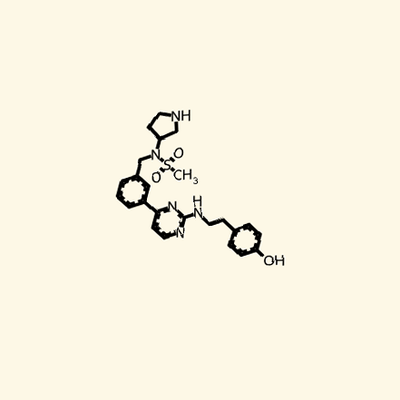 CS(=O)(=O)N(Cc1cccc(-c2ccnc(NCCc3ccc(O)cc3)n2)c1)C1CCNC1